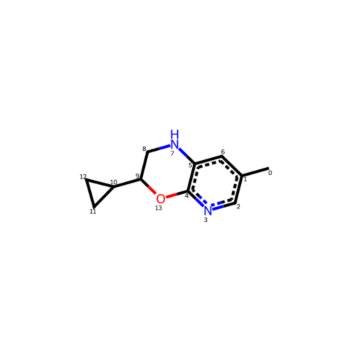 Cc1cnc2c(c1)NCC(C1CC1)O2